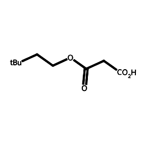 CC(C)(C)CCOC(=O)CC(=O)O